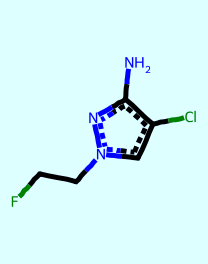 Nc1nn(CCF)cc1Cl